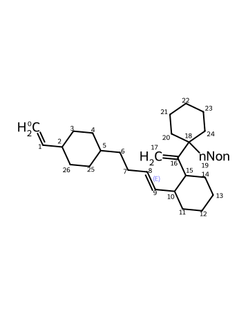 C=CC1CCC(CC/C=C/C2CCCCC2C(=C)C2(CCCCCCCCC)CCCCC2)CC1